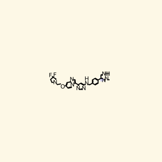 CN/N=C(\C=N)c1ccc(CNc2cc(-c3cnc4cc(OCCN5CCC(F)(F)C5)ccn34)ncn2)cc1